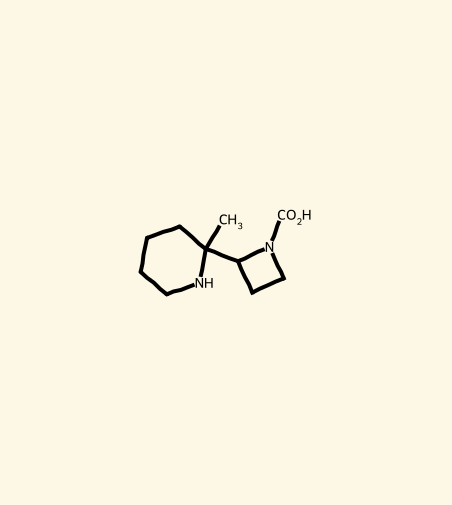 CC1(C2CCN2C(=O)O)CCCCN1